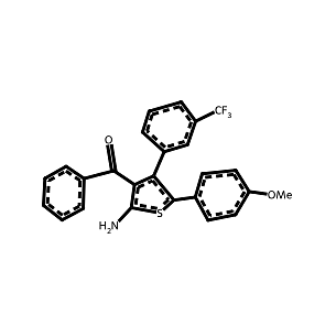 COc1ccc(-c2sc(N)c(C(=O)c3ccccc3)c2-c2cccc(C(F)(F)F)c2)cc1